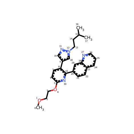 COCCOc1ccc(-c2cnn(CCC(C)C)c2)c(-c2ccc3cccnc3c2)n1